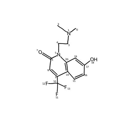 CN(C)CCn1c(=O)cc(C(F)(F)F)c2ccc(O)cc21